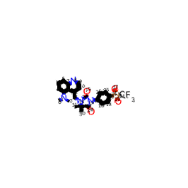 CN(C)c1cccc2nccc(CN3C(=O)N(c4ccc(S(=O)(=O)C(F)(F)F)cc4)C(=O)C3(C)C)c12